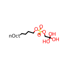 CCCCCCCCCCCCOS(=O)(=O)OCC(O)(O)O